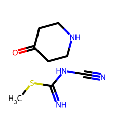 CSC(=N)NC#N.O=C1CCNCC1